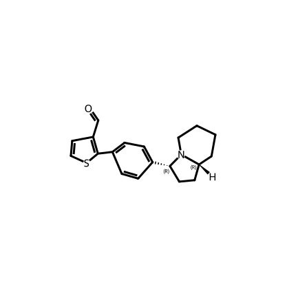 O=Cc1ccsc1-c1ccc([C@H]2CC[C@H]3CCCCN32)cc1